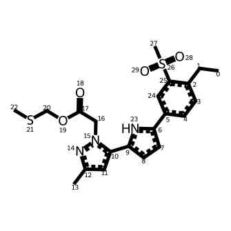 CCc1ccc(-c2ccc(-c3cc(C)nn3CC(=O)OCSC)[nH]2)cc1S(C)(=O)=O